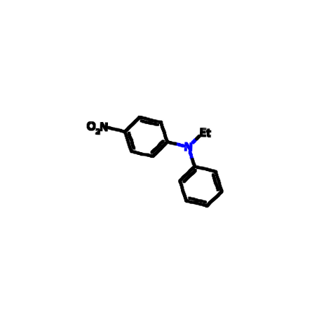 CCN(c1ccccc1)c1ccc([N+](=O)[O-])cc1